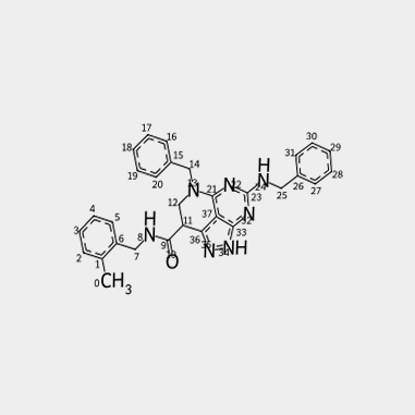 Cc1ccccc1CNC(=O)C1CN(Cc2ccccc2)c2nc(NCc3ccccc3)nc3[nH]nc1c23